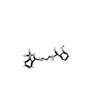 COc1ccccc1C(=O)NCCCNC1=NS(=O)(=O)c2ccccc21